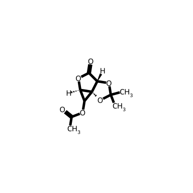 CC(=O)OC1[C@H]2OC(=O)[C@@H]3OC(C)(C)O[C@]123